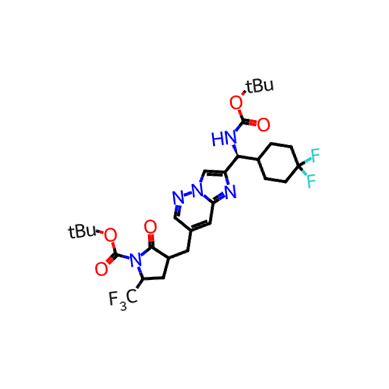 CC(C)(C)OC(=O)N[C@H](c1cn2ncc(CC3CC(C(F)(F)F)N(C(=O)OC(C)(C)C)C3=O)cc2n1)C1CCC(F)(F)CC1